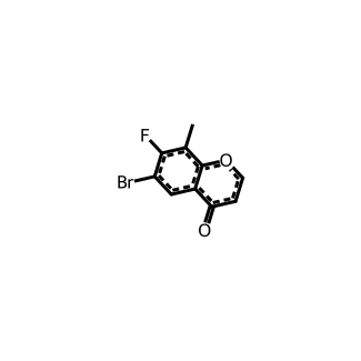 Cc1c(F)c(Br)cc2c(=O)ccoc12